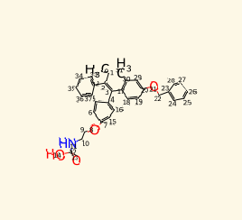 CC/C(=C(/c1ccc(OCCNC(=O)O)cc1)c1ccc(OCc2ccccc2)cc1C)c1ccccc1